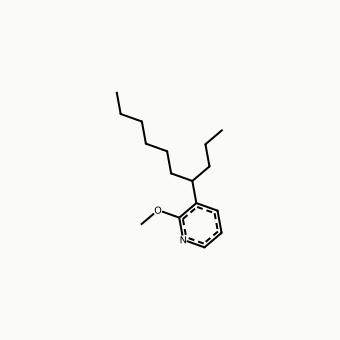 CCCCCCC(CCC)c1cccnc1OC